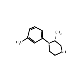 Cc1cccc(N2CCNC[C@H]2C)c1